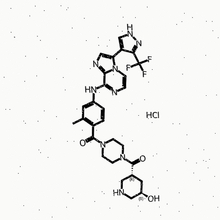 Cc1cc(Nc2nccn3c(-c4c[nH]nc4C(F)(F)F)cnc23)ccc1C(=O)N1CCN(C(=O)[C@H]2CNC[C@H](O)C2)CC1.Cl